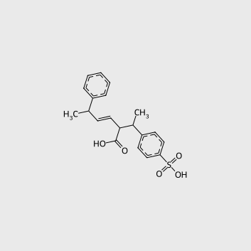 CC(C=CC(C(=O)O)C(C)c1ccc(S(=O)(=O)O)cc1)c1ccccc1